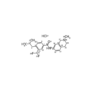 CC(C)Cc1ccc(C(=O)Nc2ccc3c(c2)CN(C)CC3)cc1C(F)F.Cl